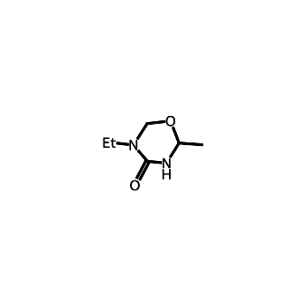 CCN1COC(C)NC1=O